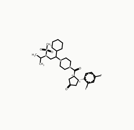 CC(C)N(CC(C1CCCCC1)N1CCN(C(=O)[C@@H]2CC(=O)C[C@H]2c2ccc(F)cc2F)CC1)S(C)(=O)=O